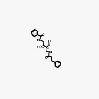 CCO[C@H](CNC(=O)CCc1ccccc1)[C@@H](O)CNC(=O)c1ccccc1